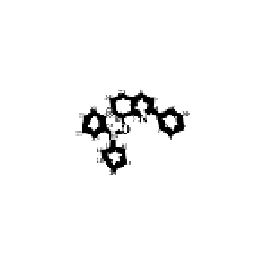 c1ccc(-c2ccc3c(n2)[C@@H](OP(c2ccccc2)c2ccccc2)CCC3)cc1